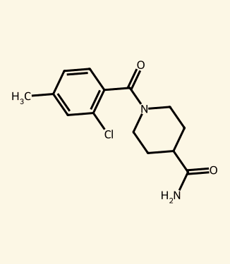 Cc1ccc(C(=O)N2CCC(C(N)=O)CC2)c(Cl)c1